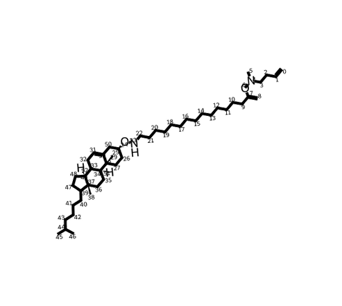 C=CCCN(C)OC(=C)CCCCCCCCCCCCCCNO[C@H]1CC[C@@]2(C)C(=CCC3[C@@H]2CC[C@]2(C)C(CCCCC(C)C)CC[C@@H]32)C1